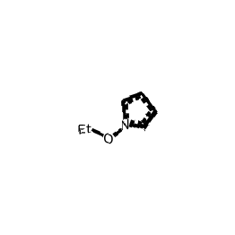 CCOn1[c]ccc1